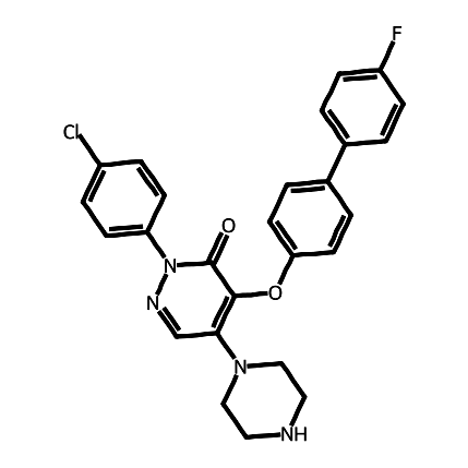 O=c1c(Oc2ccc(-c3ccc(F)cc3)cc2)c(N2CCNCC2)cnn1-c1ccc(Cl)cc1